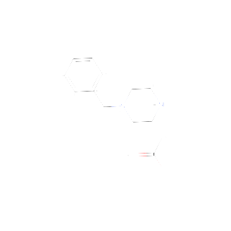 O=C(O)C[C@@H]1CN(Cc2ccccc2)CCN1